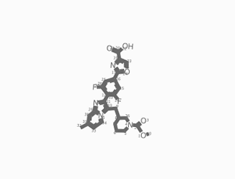 COC(=O)N1CCCC(Cc2c(-c3c(F)cc(-c4nc(C(=O)O)co4)cc3F)nc3cc(C)ccn23)C1